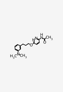 CC(=O)Nc1ccc(OCCCc2cccc(N(C)C)c2)nn1